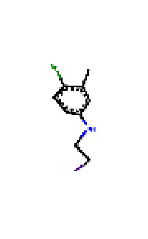 Cc1cc(NCCI)ccc1Br